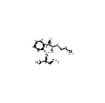 C=CC(N)=O.CCCCC(Cl)[Si](=O)c1ccccc1